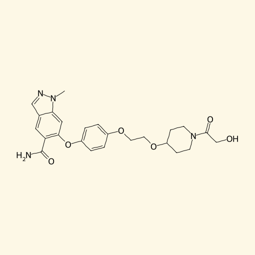 Cn1ncc2cc(C(N)=O)c(Oc3ccc(OCCOC4CCN(C(=O)CO)CC4)cc3)cc21